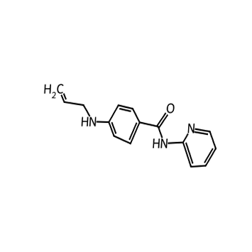 C=CCNc1ccc(C(=O)Nc2ccccn2)cc1